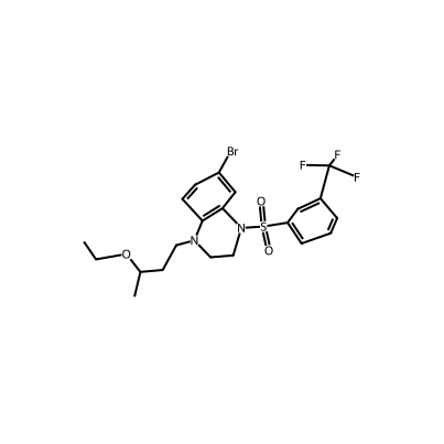 CCOC(C)CCN1CCN(S(=O)(=O)c2cccc(C(F)(F)F)c2)c2cc(Br)ccc21